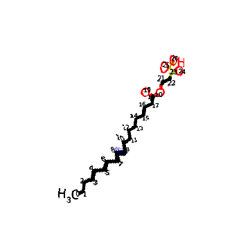 CCCCCCCC/C=C/CCCCCCCCC(=O)OCCS(=O)(=O)O